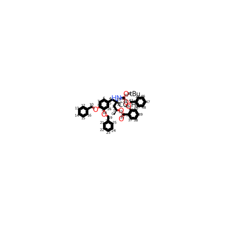 C[C@@H](CC(Cc1ccc(OCc2ccccc2)c(OCc2ccccc2)c1)(NC(=O)OC(C)(C)C)C(=O)O)OC(=O)c1ccccc1OCc1ccccc1